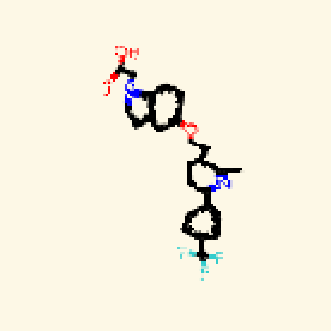 Cc1nc(-c2ccc(C(F)(F)F)cc2)ccc1CCOc1ccc2c(ccn2CC(=O)O)c1